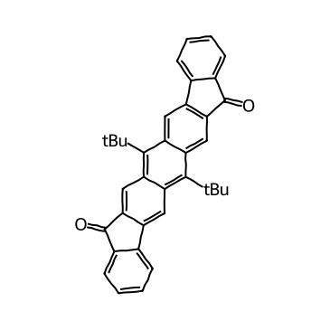 CC(C)(C)c1c2cc3c(=O)c4ccccc4c3cc2c(C(C)(C)C)c2cc3c(=O)c4ccccc4c3cc12